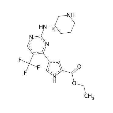 CCOC(=O)c1cc(-c2nc(N[C@H]3CCCNC3)ncc2C(F)(F)F)c[nH]1